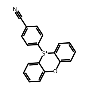 N#Cc1ccc([S+]2c3ccccc3Oc3ccccc32)cc1